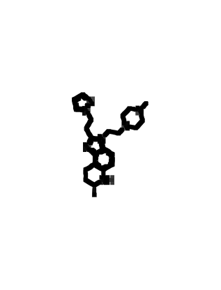 C[C@H]1CCc2c(ccc3c2nc(CCn2cccn2)n3CCN2CCN(C)CC2)N1